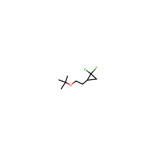 CC(C)(C)OCCC1CC1(F)F